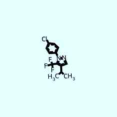 CC(C)c1cnn(-c2ccc(Cl)cc2)c1C(F)(F)F